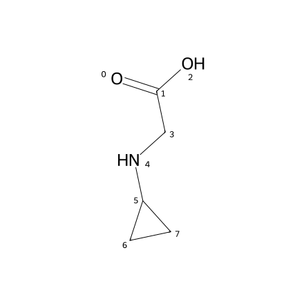 O=C(O)CNC1CC1